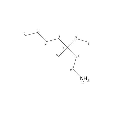 CCCCC(C)(CC)CCN